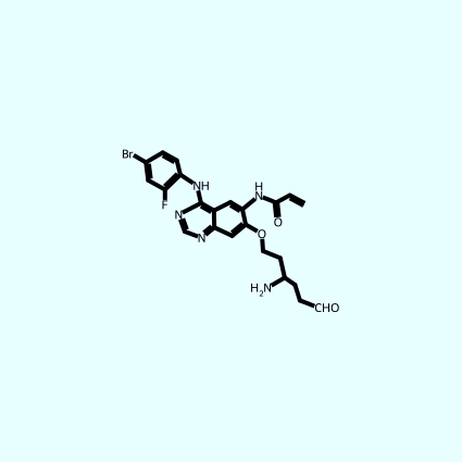 C=CC(=O)Nc1cc2c(Nc3ccc(Br)cc3F)ncnc2cc1OCCC(N)CCC=O